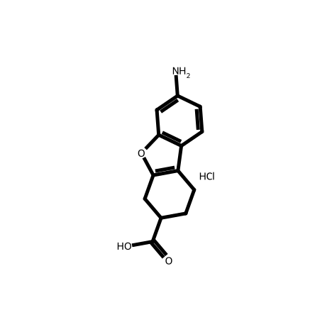 Cl.Nc1ccc2c3c(oc2c1)CC(C(=O)O)CC3